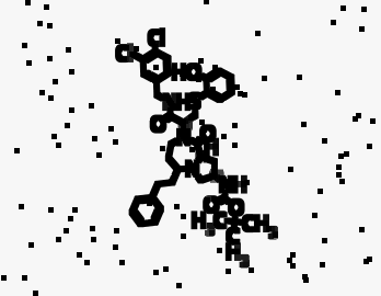 CC(C)(C)OC(=O)N[C@@H]1C[C@H]2C(=O)N([C@H](CSc3ccccc3O)C(=O)NCc3ccc(Cl)c(Cl)c3)CCC(CCc3ccccc3)N2C1